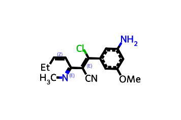 CC\C=C/C(=N\C)C(/C#N)=C(\Cl)c1cc(N)cc(OC)c1